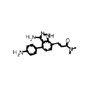 CN(C)C(=O)/C=C/c1ccc(-c2ccc(N)cc2)c2c(N)n[nH]c12